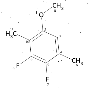 COc1cc(C)c(F)c(F)c1C